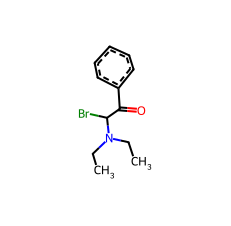 CCN(CC)C(Br)C(=O)c1ccccc1